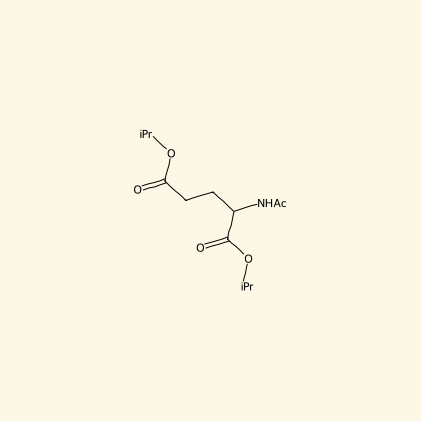 CC(=O)NC(CCC(=O)OC(C)C)C(=O)OC(C)C